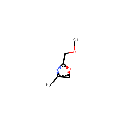 COCc1nc(C)co1